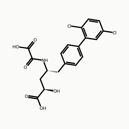 O=C(O)C(=O)N[C@H](Cc1ccc(-c2cc(Cl)ccc2Cl)cc1)C[C@@H](O)C(=O)O